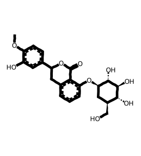 COc1ccc(C2Cc3cccc(O[C@@H]4C[C@H](CO)[C@@H](O)[C@H](O)[C@H]4O)c3C(=O)O2)cc1O